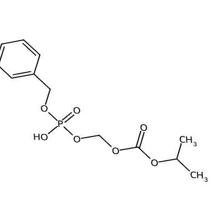 CC(C)OC(=O)OCOP(=O)(O)OCc1ccccc1